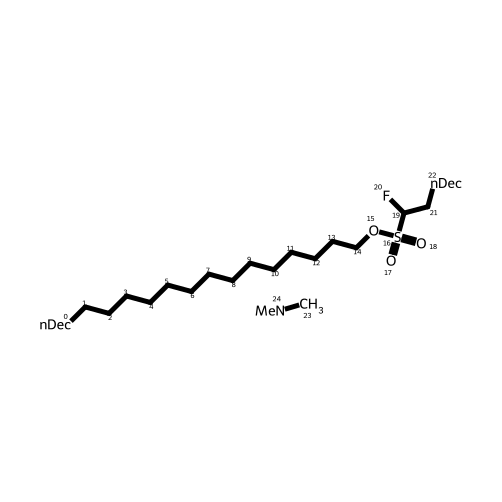 CCCCCCCCCCCCCCCCCCCCCCCCOS(=O)(=O)C(F)CCCCCCCCCCC.CNC